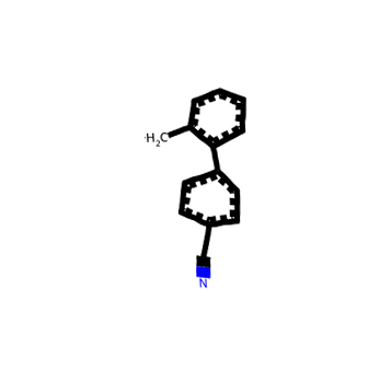 [CH2]c1ccccc1-c1ccc(C#N)cc1